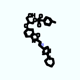 Cc1ccc(S(=O)(=O)OCC(CO)Oc2ccc3nc(/C=C/c4cnc(N5CCCCC5)s4)oc3c2)cc1